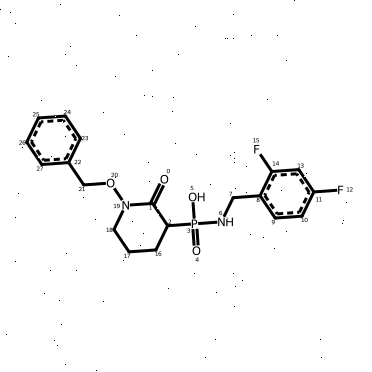 O=C1C(P(=O)(O)NCc2ccc(F)cc2F)CCCN1OCc1ccccc1